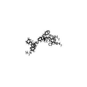 CCn1c(CNC(=O)c2nc(Cl)c(N)nc2N)[n+](CC2CCOCC2)c2ccc(OCC(=O)N(Cc3ccccc3)Cc3nc(C)ccc3[O-])cc21